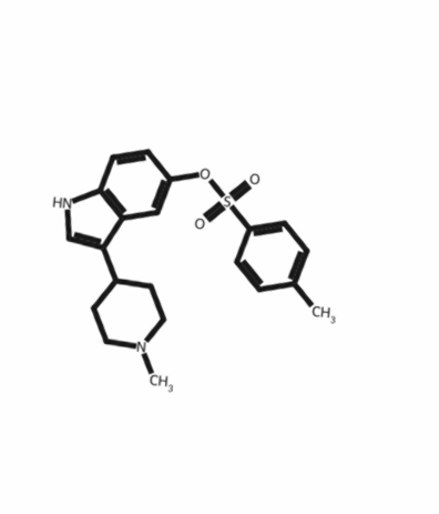 Cc1ccc(S(=O)(=O)Oc2ccc3[nH]cc(C4CCN(C)CC4)c3c2)cc1